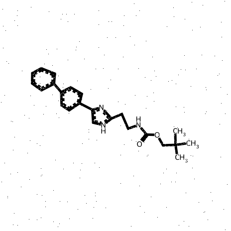 CC(C)(C)COC(=O)NCCc1nc(-c2ccc(-c3ccccc3)cc2)c[nH]1